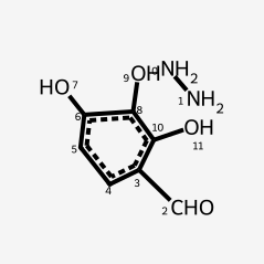 NN.O=Cc1ccc(O)c(O)c1O